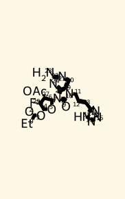 CCC(=O)O[C@H]1O[C@@H](n2c(=O)n(C/C=C/c3nnn[nH]3)c3cnc(N)nc32)[C@H](OC(C)=O)[C@H]1F